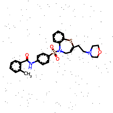 Cc1ccccc1C(=O)Nc1ccc(S(=O)(=O)N2CC=C(CCN3CCOCC3)Sc3ccccc32)cc1